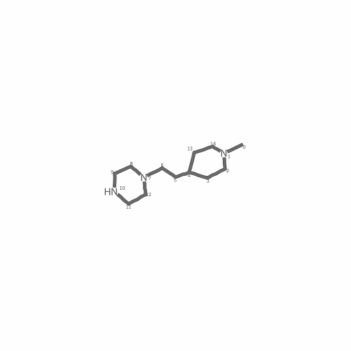 CN1CCC(CCN2CCNCC2)CC1